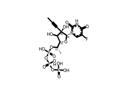 CC#C[C@@]1(O)C(O)[C@@H]([C@H](C)OP(=O)(O)OP(=O)(O)OP(=O)(O)O)O[C@H]1n1cc(F)c(=O)[nH]c1=O